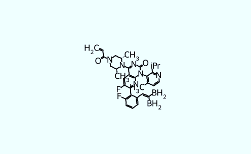 BC(B)=Cc1cccc(F)c1-c1nc2c(cc1F)c(N1[C@@H](C)CN(C(=O)C=C)C[C@@H]1C)nc(=O)n2-c1c(C)ccnc1C(C)C